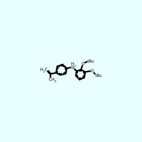 C=C(C)c1ccc([SiH2]c2cccc(OC(C)(C)C)c2OC(C)(C)C)cc1